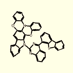 c1ccc2c(c1)Oc1cc3c4ccccc4n(-c4nc(-c5cccc6c5sc5ccccc56)c5ccccc5n4)c3c3c1N2c1ccccc1O3